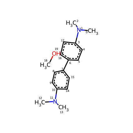 CN(C)c1ccc(-c2ccc(N(C)C)cc2)cc1.CO